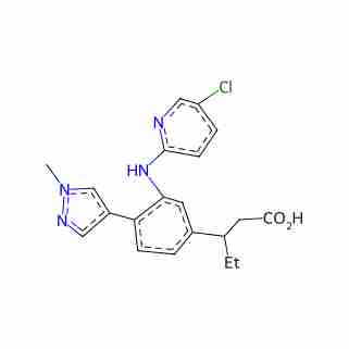 CCC(CC(=O)O)c1ccc(-c2cnn(C)c2)c(Nc2ccc(Cl)cn2)c1